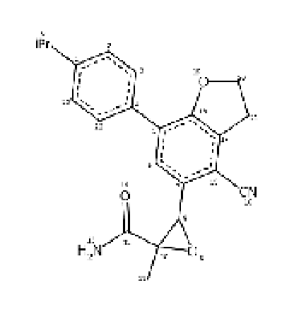 CC(C)c1ccc(-c2cc(C3OC3(C)C(N)=O)c(C#N)c3c2OCC3)cc1